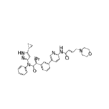 CC(C)[C@H](C(=O)N(c1ccccc1)c1cc(C2CC2)[nH]n1)c1cccc(-c2ccc(NC(=O)/C=C/CN3CCOCC3)nc2)c1